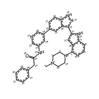 CN1CCN(c2nccc3[nH]c(-c4n[nH]c5ccc(-c6cncc(NC(=O)Cc7ccccc7)c6)cc45)cc23)CC1